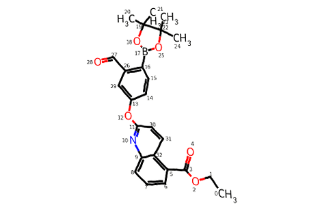 CCOC(=O)c1cccc2nc(Oc3ccc(B4OC(C)(C)C(C)(C)O4)c(C=O)c3)ccc12